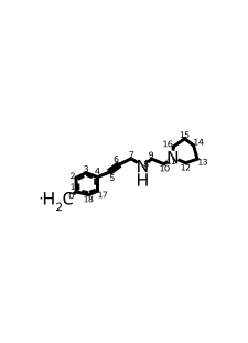 [CH2]c1ccc(C#CCNCCN2CCCCC2)cc1